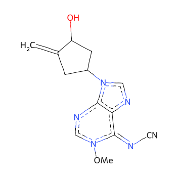 C=C1CC(n2cnc3/c(=N\C#N)n(OC)cnc32)CC1O